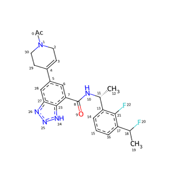 CC(=O)N1CC=C(c2cc(C(=O)N[C@H](C)c3cccc(C(C)F)c3F)c3[nH]nnc3c2)CC1